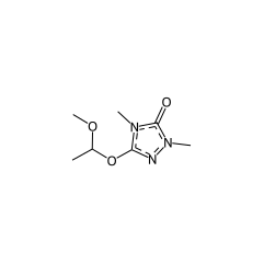 COC(C)Oc1nn(C)c(=O)n1C